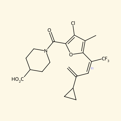 C=C(/C=C(\c1oc(C(=O)N2CCC(C(=O)O)CC2)c(Cl)c1C)C(F)(F)F)C1CC1